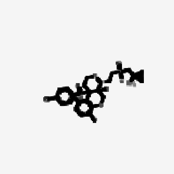 NC1(CS(=O)(=O)CC[C@@H]2OCC[C@@]3(S(=O)(=O)c4ccc(Cl)cc4)c4c(F)ccc(F)c4OC[C@@H]23)CC1